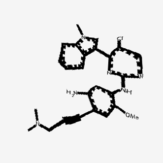 COc1cc(C#CCN(C)C)c(N)cc1Nc1ncc(Cl)c(-c2cn(C)c3ccccc23)n1